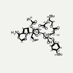 C/N=C\[C@@]1(c2ccc3c(N)ncnn23)O[C@H](CO[PH](O)(N[C@@H](C)C(=O)OCCC(C)(C)C)Oc2ccc(C(C)(C)C)cc2)[C@@H](OC(=O)C(C)C)[C@H]1OC(=O)C(C)C